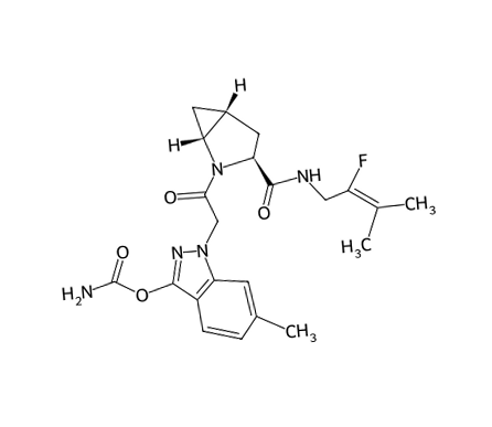 CC(C)=C(F)CNC(=O)[C@@H]1C[C@H]2C[C@H]2N1C(=O)Cn1nc(OC(N)=O)c2ccc(C)cc21